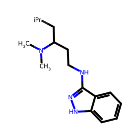 CC(C)CC(CCNc1n[nH]c2ccccc12)N(C)C